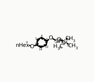 CCCCCCOc1ccc(O[SiH2]O[Si](C)(C)C)cc1